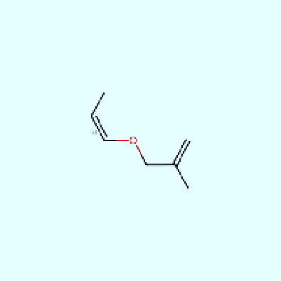 C=C(C)CO/C=C\C